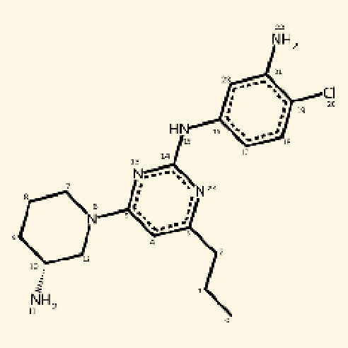 CCCc1cc(N2CCC[C@@H](N)C2)nc(Nc2ccc(Cl)c(N)c2)n1